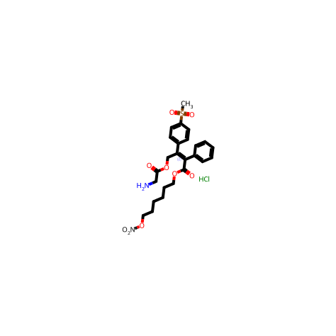 CS(=O)(=O)c1ccc(/C(COC(=O)CN)=C(/C(=O)OCCCCCCO[N+](=O)[O-])c2ccccc2)cc1.Cl